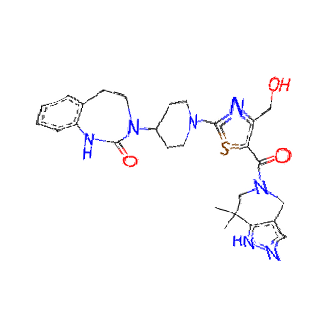 CC1(C)CN(C(=O)c2sc(N3CCC(N4CCc5ccccc5NC4=O)CC3)nc2CO)Cc2cn[nH]c21